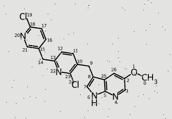 COc1cnc2[nH]cc(Cc3ccc([CH]c4ccc(Cl)nc4)nc3Cl)c2c1